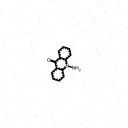 Nn1c2ccccc2c(=O)c2ccccc21